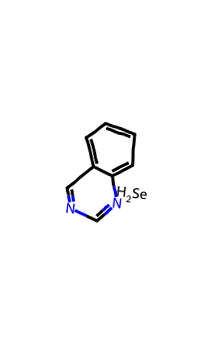 [SeH2].c1ccc2ncncc2c1